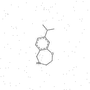 CC(C)c1ccc2c(c1)OCCNC2